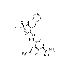 CCCCS(=O)(=O)N[C@@H](Cc1ccccc1)C(=O)ONC(=O)c1cc(C(F)(F)F)ccc1NC(=N)N